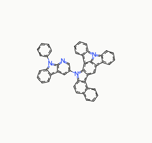 c1ccc(-n2c3ccccc3c3cc(-n4c5ccc6ccccc6c5c5cc6c7ccccc7n7c8ccccc8c(c54)c67)cnc32)cc1